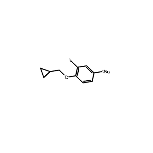 CC(C)(C)c1ccc(OCC2CC2)c(I)c1